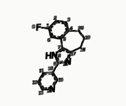 Fc1ccc2c(c1)-c1[nH]c(-c3cccnc3)nc1CCC2